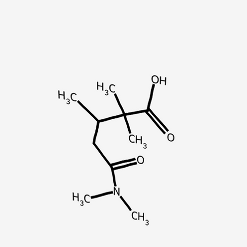 CC(CC(=O)N(C)C)C(C)(C)C(=O)O